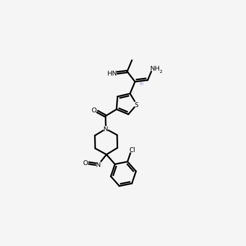 CC(=N)/C(=C\N)c1cc(C(=O)N2CCC(N=O)(c3ccccc3Cl)CC2)cs1